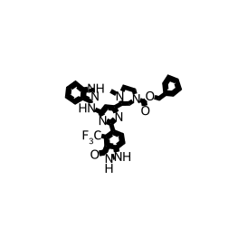 CN1CCN(C(=O)OCc2ccccc2)CC1c1cc(Nc2n[nH]c3ccccc23)nc(-c2ccc3[nH][nH]c(=O)c3c2C(F)(F)F)n1